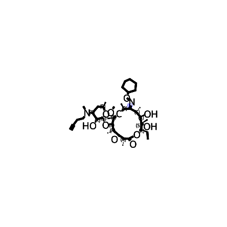 C#CCCN(C)[C@H]1C[C@@H](C)O[C@@H](O[C@@H]2[C@@H](C)C(=O)[C@@H](C)C(=O)O[C@H](CC)[C@@](C)(O)[C@H](O)[C@@H](C)/C(=N/OC3CCCCC3)[C@H](C)C[C@@]2(C)OC)[C@@H]1O